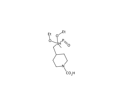 CCO[SH](C)(CC1CCN(C(=O)O)CC1)(OCC)P=O